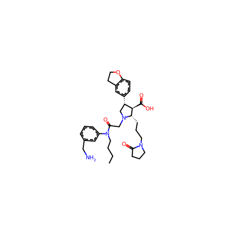 CCCCN(C(=O)CN1C[C@H](c2ccc3c(c2)CCO3)[C@@H](C(=O)O)[C@@H]1CCCN1CCCC1=O)c1cccc(CN)c1